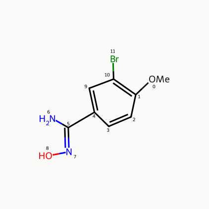 COc1ccc(/C(N)=N/O)cc1Br